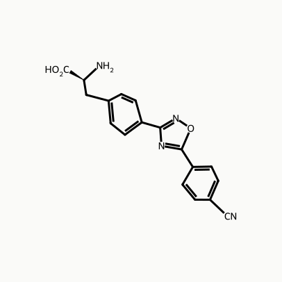 N#Cc1ccc(-c2nc(-c3ccc(C[C@H](N)C(=O)O)cc3)no2)cc1